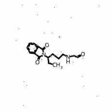 CCC(CCCNC[C]=O)N1C(=O)c2ccccc2C1=O